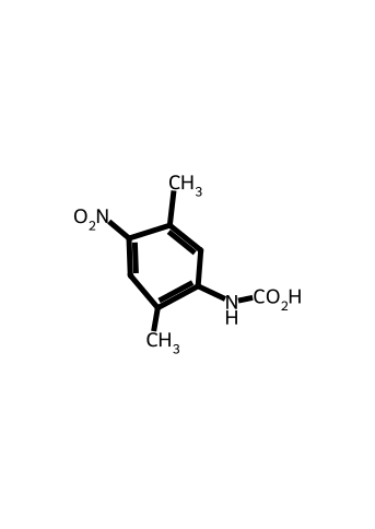 Cc1cc([N+](=O)[O-])c(C)cc1NC(=O)O